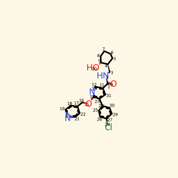 O=C(NC[C@@H]1CCCC[C@@H]1O)c1cnc(OCc2ccncc2)c(-c2ccc(Cl)cc2)c1